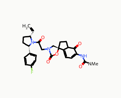 C=C[C@H]1CC[C@@H](c2ccc(F)cc2)N1C(=O)CN1C[C@]2(CCC3C(=O)C(NC(=O)NC)=CC=C32)OC1=O